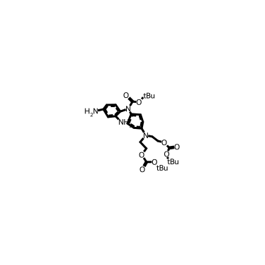 CC(C)(C)OC(=O)OCCN(CCOC(=O)OC(C)(C)C)c1ccc(N(C(=O)OC(C)(C)C)c2ccc(N)cc2N)cc1